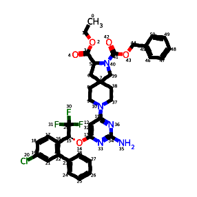 CCOC(=O)C1CC2(CCN(c3cc(O[C@H](c4ccc(Cl)cc4-c4ccccc4)C(F)(F)F)nc(N)n3)CC2)CN1C(=O)OCc1ccccc1